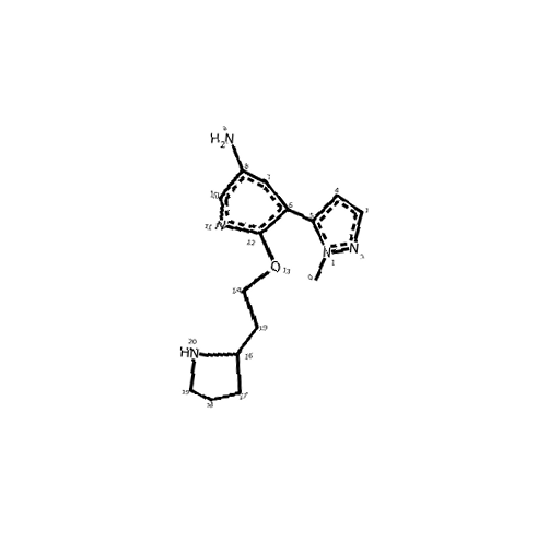 Cn1nccc1-c1cc(N)cnc1OCCC1CCCN1